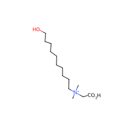 C[N+](C)(CCCCCCCCCCO)CC(=O)O